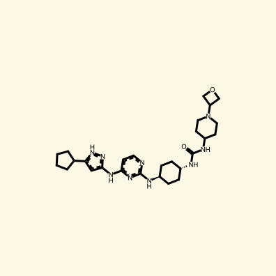 O=C(NC1CCN(C2COC2)CC1)N[C@H]1CC[C@H](Nc2nccc(Nc3cc(C4CCCC4)[nH]n3)n2)CC1